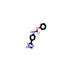 O=C(Nc1ccc(-c2nc[nH]n2)cc1)Oc1ccccc1